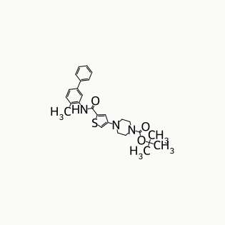 Cc1ccc(-c2ccccc2)cc1NC(=O)c1cc(N2CCN(C(=O)OC(C)(C)C)CC2)cs1